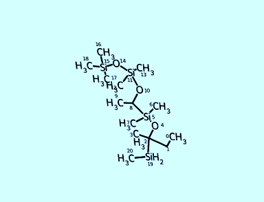 CCC(C)(O[Si](C)(C)C(C)O[Si](C)(C)O[Si](C)(C)C)[SiH2]C